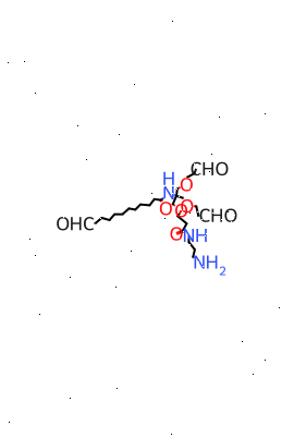 NCCCNC(=O)CCOCC(COCCC=O)(COCCC=O)NC(=O)CCCCCCCCCCC=O